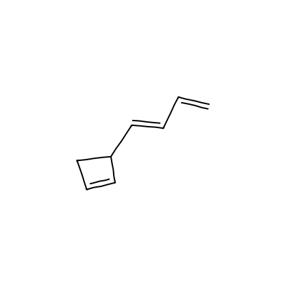 C=CC=CC1C=CC1